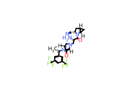 C[C@@H](c1cc(C(F)(F)F)cc(C(F)(F)F)c1)N1C(=O)[C@@H]2C[C@H]1CN2C[C@H](N)C(=O)N1[C@H](C#N)C[C@@H]2C[C@@H]21